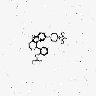 CS(=O)(=O)N1CCN(c2ccc3nc4c(n3c2)C(c2ccccc2OC(F)F)OCC4)CC1